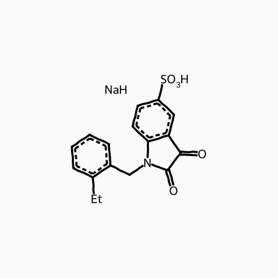 CCc1ccccc1CN1C(=O)C(=O)c2cc(S(=O)(=O)O)ccc21.[NaH]